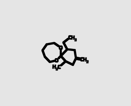 C=C1CC(C)C2(OCCCCCO2)C(CC)C1